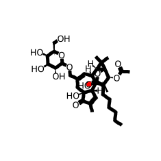 CCCCCCCC(=O)O[C@@]12[C@H](OC(C)=O)[C@@H](C)[C@@]3(O)[C@@H](C=C(COC4O[C@H](CO)[C@H](O)[C@H](O)[C@H]4O)C[C@]4(O)C(=O)C(C)=C[C@@H]34)[C@H]1C2(C)C